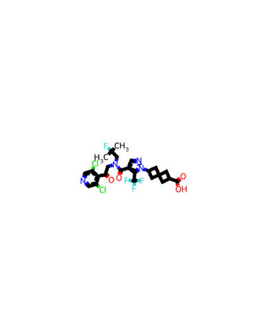 CC(C)(F)CN(CC(=O)c1c(Cl)cncc1Cl)C(=O)c1cnn(C2CC3(CC(C(=O)O)C3)C2)c1C(F)(F)F